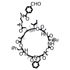 C/C=C(\C)[C@H]1OC(=O)[C@@H](C)NC(=O)[C@H]([C@H](C)CC)NC(=O)CN(C)C(=O)[C@@H](Cc2ccccc2)N(C)C(=O)[C@H](C)NC(=O)[C@@H](CC(C)C)OC(=O)/C(C)=C/C[C@H](CC(=O)N(C)CCN(C)C(=O)c2ccc(C=O)cc2)[C@@H]1C